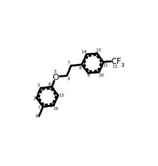 Cc1ccc(OCCc2ccc(C(F)(F)F)cc2)cc1